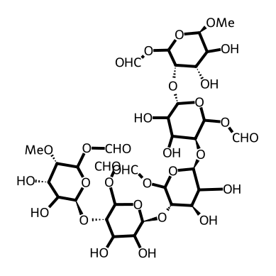 CO[C@@H]1OC(OC=O)[C@@H](O[C@@H]2OC(OC=O)[C@@H](O[C@@H]3OC(OC=O)[C@@H](O[C@@H]4OC(OC=O)[C@@H](O[C@@H]5OC(OC=O)[C@@H](OC)[C@@H](O)C5O)C(O)C4O)[C@H](O)C3O)C(O)C2O)[C@@H](O)C1O